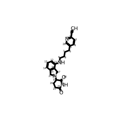 C#Cc1ccc(CCCCNc2cccc3c2CN(C2CCC(=O)NC2=O)C3)cn1